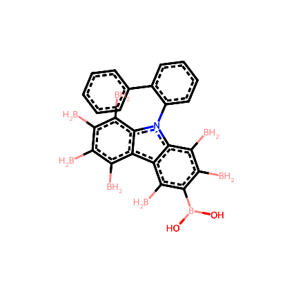 Bc1c(B)c(B)c2c(c1B)c1c(B)c(B(O)O)c(B)c(B)c1n2-c1ccccc1-c1ccccc1